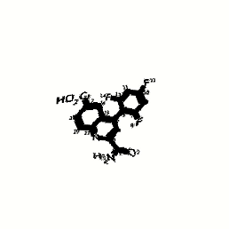 NC(=O)c1cc(-c2c(F)cc(F)cc2F)c2cc(C(=O)O)ccc2n1